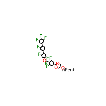 CCCCCOC1COC(c2cc(F)c(C(F)(F)Oc3ccc(-c4ccc(-c5cc(F)c(F)c(F)c5)c(F)c4)c(F)c3)c(F)c2)OC1